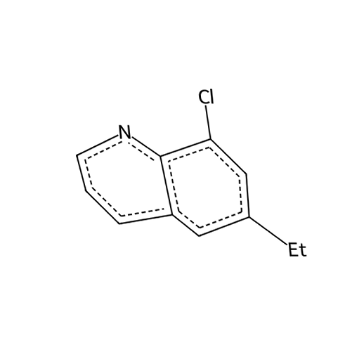 CCc1cc(Cl)c2ncccc2c1